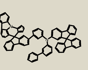 c1ccc(-c2cccc(N(c3cccc(-c4ccc5c(c4)C4(c6ccccc6-5)c5ccccc5-n5c6ccccc6c6cccc4c65)c3)c3ccc4c(c3)C3(c5ccccc5-c5ccccc53)c3ccccc3-4)c2)cc1